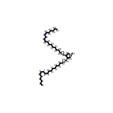 CCCCC/C=C\C/C=C\CCCCCCCCOC[C@@H]1CN(C)C[C@H]1COCCCCCCCC/C=C\C/C=C\CCCCC